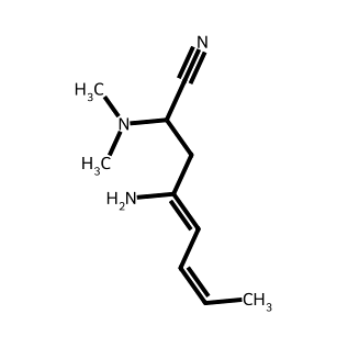 C/C=C\C=C(/N)CC(C#N)N(C)C